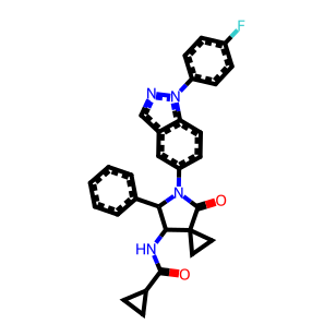 O=C(NC1C(c2ccccc2)N(c2ccc3c(cnn3-c3ccc(F)cc3)c2)C(=O)C12CC2)C1CC1